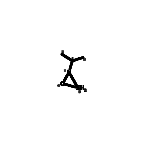 CC(C)N1O[SiH2]1